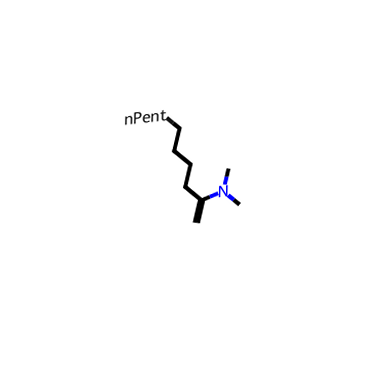 C=C(CCCCCCCCC)N(C)C